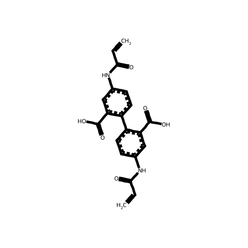 C=CC(=O)Nc1ccc(-c2ccc(NC(=O)C=C)cc2C(=O)O)c(C(=O)O)c1